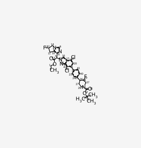 CCOC(=O)C(c1ncn2c1C[C@@H](F)C2)n1cc2c(Cl)cc(-c3ccc(C4CCN(C(=O)OC(C)(C)C)CC4F)cc3)c(Cl)c2n1